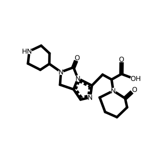 O=C(O)C(Cc1ncc2n1C(=O)N(C1CCNCC1)C2)N1CCCCC1=O